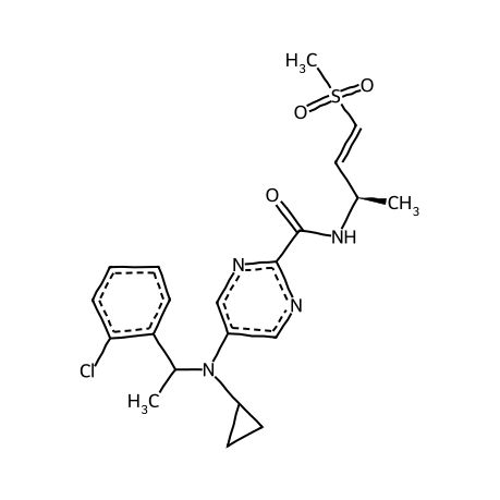 CC(c1ccccc1Cl)N(c1cnc(C(=O)N[C@H](C)/C=C/S(C)(=O)=O)nc1)C1CC1